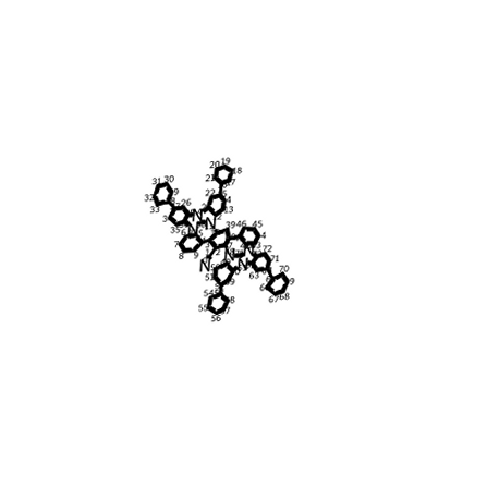 N#Cc1c(-c2ccccc2)c(-n2c3ccc(-c4ccccc4)cc3n3c4cc(-c5ccccc5)ccc4nc23)cc(-c2ccccc2)c1-n1c2ccc(-c3ccccc3)cc2n2c3cc(-c4ccccc4)ccc3nc12